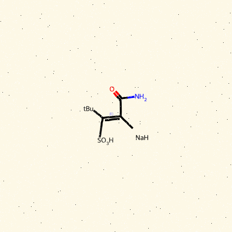 C/C(C(N)=O)=C(/C(C)(C)C)S(=O)(=O)O.[NaH]